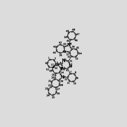 c1ccc(-c2nc(-c3ccccc3-n3c4ccccc4c4cc5ccccc5cc43)nc(-c3cccc4c3c3ccccc3n4-c3ccccc3)n2)cc1